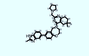 Cc1nc2cc(-c3ccc4c(c3)CN(c3nc(CN5CCCC5)nc5c3CC(C)(C)CC5)CCO4)ccc2[nH]1